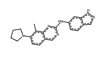 Cc1c(N2CCCC2)ccc2cnc(Nc3ccc4cn[nH]c4c3)nc12